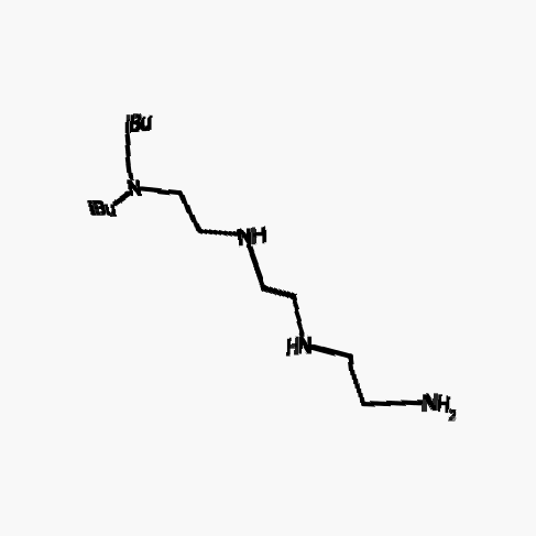 CCC(C)N(CCNCCNCCN)C(C)CC